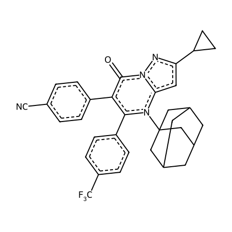 N#Cc1ccc(-c2c(-c3ccc(C(F)(F)F)cc3)n(C34CC5CC(CC(C5)C3)C4)c3cc(C4CC4)nn3c2=O)cc1